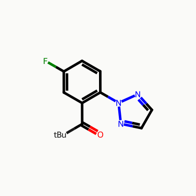 CC(C)(C)C(=O)c1cc(F)ccc1-n1nccn1